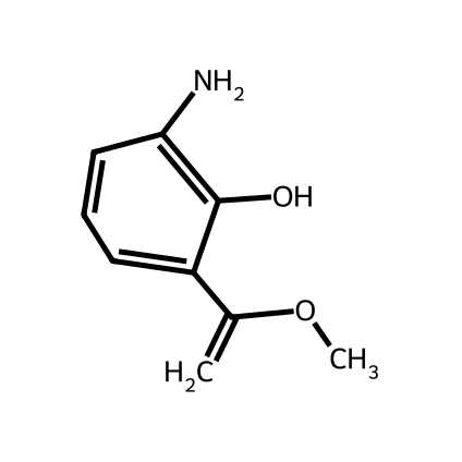 C=C(OC)c1cccc(N)c1O